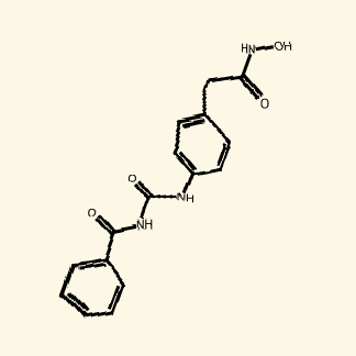 O=C(Cc1ccc(NC(=O)NC(=O)c2ccccc2)cc1)NO